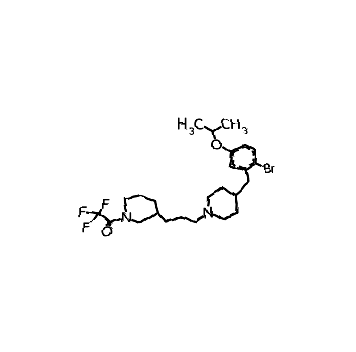 CC(C)Oc1ccc(Br)c(CC2CCN(CCCC3CCCN(C(=O)C(F)(F)F)C3)CC2)c1